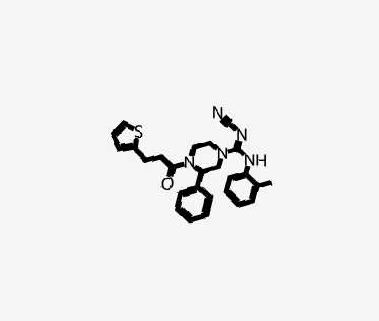 Cc1ccccc1N/C(=N/C#N)N1CCN(C(=O)CCc2cccs2)C(c2ccccc2)C1